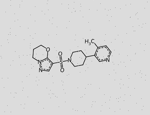 Cc1ccncc1C1CCN(S(=O)(=O)c2cnn3c2OCCC3)CC1